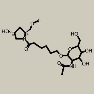 CC(=O)NC1C(OCCCCCC(=O)N2C[C@H](O)C[C@H]2COI)OC(CO)C(O)C1O